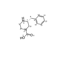 O=C(O)N1CCN[C@H](Cc2ccccc2)C1